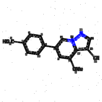 COc1cc(-c2ccc(C(=O)O)cc2)cn2ncc(C#N)c12